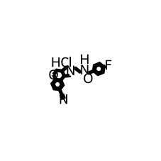 Cl.N#Cc1ccc2c(c1)C1CN(CCNC(=O)c3ccc(F)cc3)CC1CO2